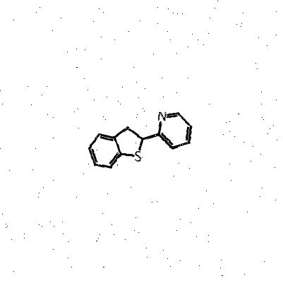 c1ccc(C2Cc3ccccc3S2)nc1